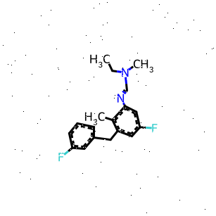 CCN(C)C=Nc1cc(F)cc(Cc2cccc(F)c2)c1C